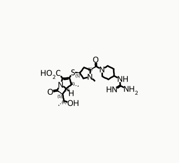 C[C@@H](O)[C@H]1C(=O)N2C(C(=O)O)=C(S[C@H]3C[C@@H](C(=O)N4CCC(NC(=N)N)CC4)N(C)C3)[C@H](C)[C@H]12